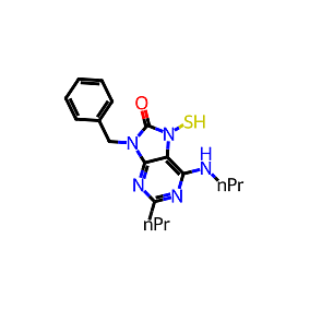 CCCNc1nc(CCC)nc2c1n(S)c(=O)n2Cc1ccccc1